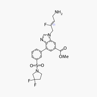 COC(=O)c1cc(-c2cccc(S(=O)(=O)N3CCC(F)(F)C3)c2)c2ncn(C/C(F)=C/CN)c2c1